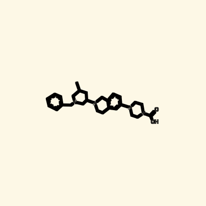 CC1CC(N2CCc3cc(N4CCN(C(=O)O)CC4)ccc3C2)CN(Cc2ccccc2)C1